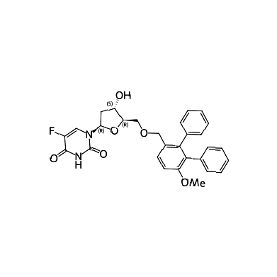 COc1ccc(COC[C@H]2O[C@@H](n3cc(F)c(=O)[nH]c3=O)C[C@@H]2O)c(-c2ccccc2)c1-c1ccccc1